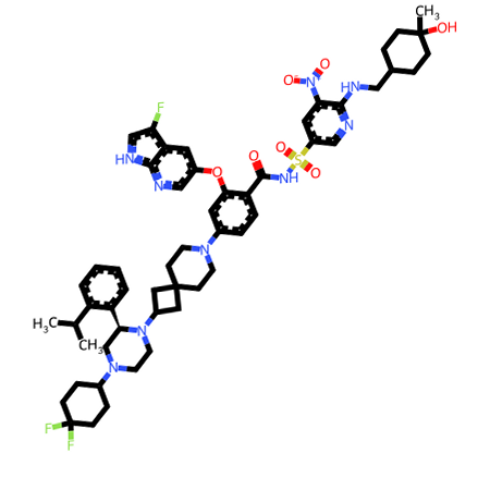 CC(C)c1ccccc1[C@@H]1CN(C2CCC(F)(F)CC2)CCN1C1CC2(CCN(c3ccc(C(=O)NS(=O)(=O)c4cnc(NCC5CCC(C)(O)CC5)c([N+](=O)[O-])c4)c(Oc4cnc5[nH]cc(F)c5c4)c3)CC2)C1